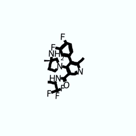 Cc1ncc(C(=O)NC(C)C(F)(F)F)c(N2CC[C@](C)(N)C2)c1-c1ccc(F)c(F)c1